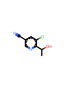 CC(O)c1ncc(C#N)cc1Cl